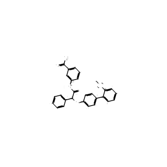 CS(=O)(=O)c1ccccc1-c1ccc(OC(C(=O)Nc2cccc(C(=N)N)c2)c2ccccc2)cc1